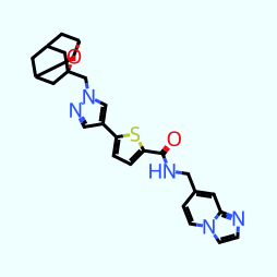 O=C(NCc1ccn2ccnc2c1)c1ccc(-c2cnn(CC34CC5CC(CC(C5)O3)C4)c2)s1